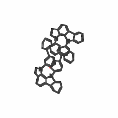 c1ccc(-c2cccc(-n3ccc4ccc5c6ccccc6n(-c6ccc(-c7ccc(-n8c9ccccc9c9ccc%10ccn(-c%11cccc(-c%12ccccc%12)c%11)c%10c98)cc7)cc6)c5c43)c2)cc1